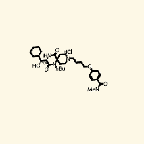 CCCCN1C(=O)[C@@H]([C@H](O)C2CCCCC2)NC(=O)C12CCN(CC=CCOc1ccc(C(=O)NC)cc1)CC2.Cl